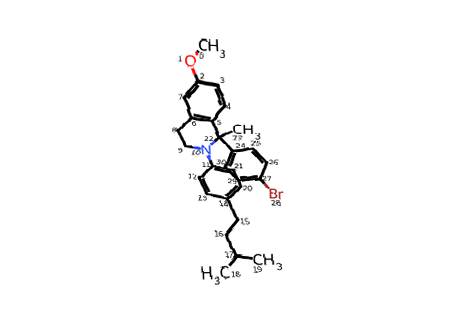 COc1ccc2c(c1)CCN(c1ccc(CCC(C)C)cc1)C2(C)c1ccc(Br)cc1